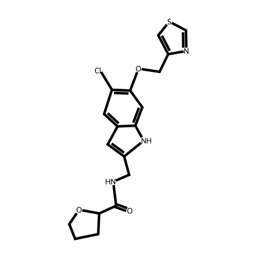 O=C(NCc1cc2cc(Cl)c(OCc3cscn3)cc2[nH]1)C1CCCO1